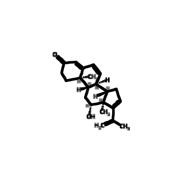 C=C(C)C1=CC[C@H]2[C@@H]3C=CC4=CC(=O)CC[C@]4(C)[C@H]3C[C@@H](O)[C@]12C